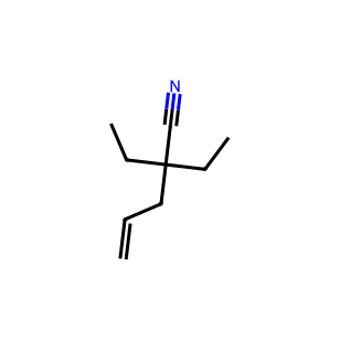 C=CCC(C#N)(CC)CC